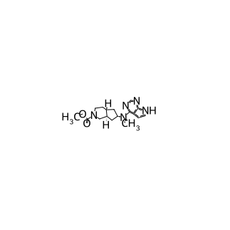 COC(=O)N1CC[C@@H]2C[C@@H](N(C)c3ncnc4[nH]ccc34)C[C@H]2C1